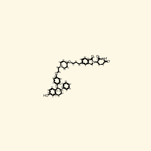 O=C1CCC(N2Cc3cc(CCCOC4CCN(CCOc5ccc([C@@H]6c7ccc(O)cc7CC[C@@H]6c6ccccc6)cc5)CC4)ccc3C2=O)C(=O)N1